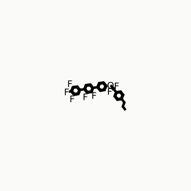 CCCc1ccc(C(F)(F)Oc2ccc(-c3ccc(-c4cc(F)c(F)c(F)c4)c(F)c3F)cc2)cc1